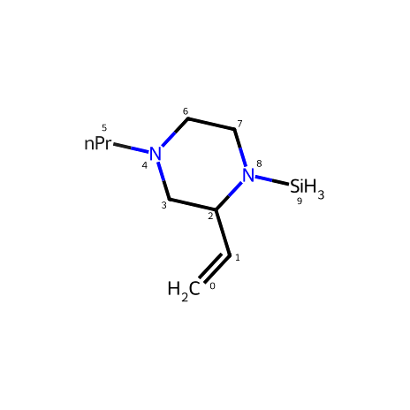 C=CC1CN(CCC)CCN1[SiH3]